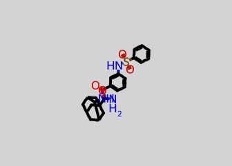 NC(=O)C12CC3CC(C1)C(NC(=O)c1cccc(NS(=O)(=O)c4ccccc4)c1)C(C3)C2